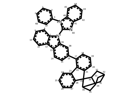 c1ccc(-n2c(-n3c4ccccc4c4ccc(-c5cccc6c5-c5ccccc5C65C6CC7CC(C6)C5C7)cc43)nc3ccccc32)cc1